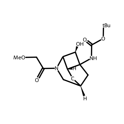 COCC(=O)N1C[C@@H]2C[C@@H]3C1[C@@H](O)C3(NC(=O)OC(C)(C)C)C2